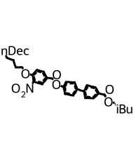 CCCCCCCCCCCCCCOc1ccc(C(=O)Oc2ccc(-c3ccc(C(=O)OC[C@@H](C)CC)cc3)cc2)cc1[N+](=O)[O-]